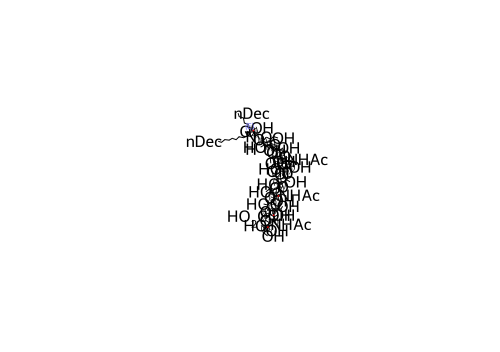 CCCCCCCCCCCCC/C=C/[C@@H](O)[C@H](CO[C@@H]1OC(CO)[C@@H](O[C@@H]2OC(CO)[C@H](O)[C@H](O[C@@H]3OC(CO)[C@@H](O[C@@H]4OC(CO)[C@H](O)[C@H](O[C@H]5OC(CO)[C@@H](O[C@@H]6OC(CO)[C@H](O)[C@H](O[C@]7(C(=O)O)CC(O)[C@@H](NC(C)=O)C([C@H](O)[C@H](O)CO)O7)C6O)[C@H](O)C5NC(C)=O)C4O)[C@H](O)C3NC(C)=O)C2O)[C@H](O)C1O)NC(=O)CCCCCCCCCCCCCCCCC